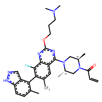 C=CC(=O)N1C[C@H](C)N(c2nc(OCCCN(C)C)nc3c(F)c(-c4c(C)ccc5[nH]ncc45)c(C(F)(F)F)cc23)C[C@H]1C